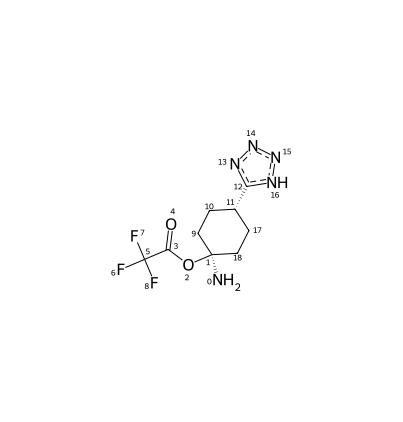 N[C@]1(OC(=O)C(F)(F)F)CC[C@H](c2nnn[nH]2)CC1